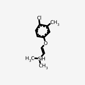 Cc1cc(OC=C[SiH](C)C)ccc1Cl